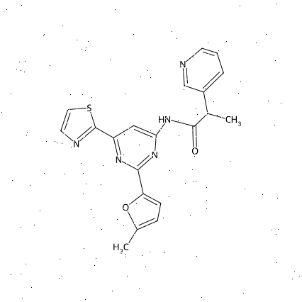 Cc1ccc(-c2nc(NC(=O)C(C)c3cccnc3)cc(-c3nccs3)n2)o1